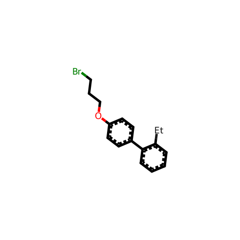 CCc1ccccc1-c1ccc(OCCCBr)cc1